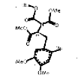 COC(=O)[C@H](Cc1cc(OC)c(OC)cc1[18F])N(C(=O)OC)C(=O)OC(C)(C)C